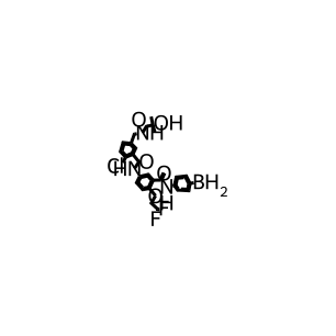 Bc1ccc(NC(=O)c2cc(NC(=O)c3cc(CNC(=O)C(C)(C)O)ccc3Cl)ccc2OCC(F)F)cc1